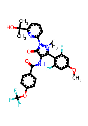 COc1cc(F)c(-c2c(NC(=O)c3ccc(OC(F)(F)F)cc3)c(=O)n(-c3cccc(C(C)(C)O)n3)n2C)c(F)c1